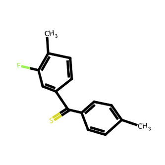 Cc1ccc(C(=S)c2ccc(C)c(F)c2)cc1